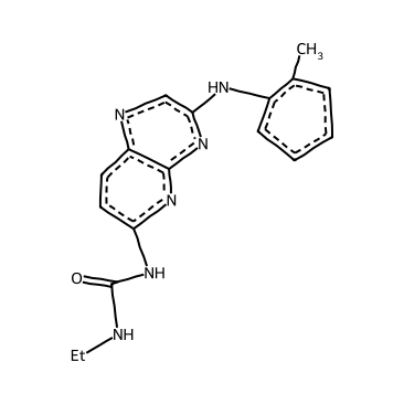 CCNC(=O)Nc1ccc2ncc(Nc3ccccc3C)nc2n1